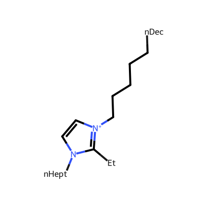 CCCCCCCCCCCCCCC[n+]1ccn(CCCCCCC)c1CC